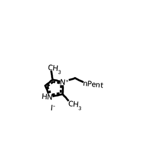 CCCCCC[n+]1c(C)c[nH]c1C.[I-]